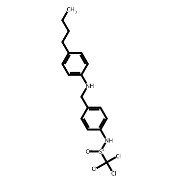 CCCCc1ccc(NCc2ccc(N[S+]([O-])C(Cl)(Cl)Cl)cc2)cc1